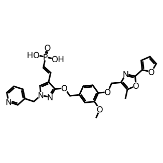 COc1cc(COc2nn(Cc3cccnc3)cc2C=CP(=O)(O)O)ccc1OCc1nc(-c2ccco2)oc1C